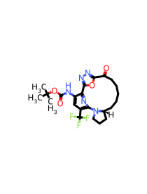 CC(C)(C)OC(=O)Nc1cc(C(F)(F)F)c2nc1-c1nnc(o1)C(=O)CCCCC[C@@H]1CCCN21